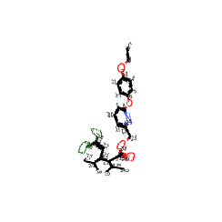 CCOc1ccc(Oc2cccc(COC(=O)C(C(C)C)C(C=C(Cl)Cl)C(C)C)n2)cc1